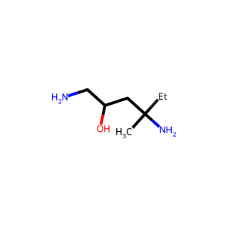 CCC(C)(N)CC(O)CN